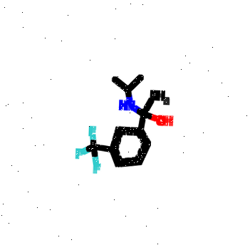 BC(O)(NC(C)C)c1cccc(C(F)(F)F)c1